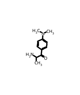 CC(N)C(=O)c1ccc(N(C)C)cc1